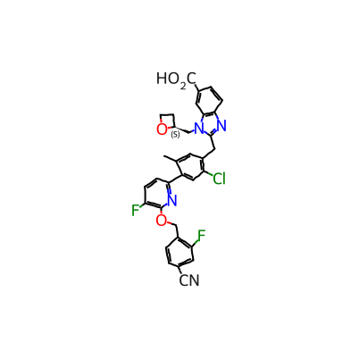 Cc1cc(Cc2nc3ccc(C(=O)O)cc3n2C[C@@H]2CCO2)c(Cl)cc1-c1ccc(F)c(OCc2ccc(C#N)cc2F)n1